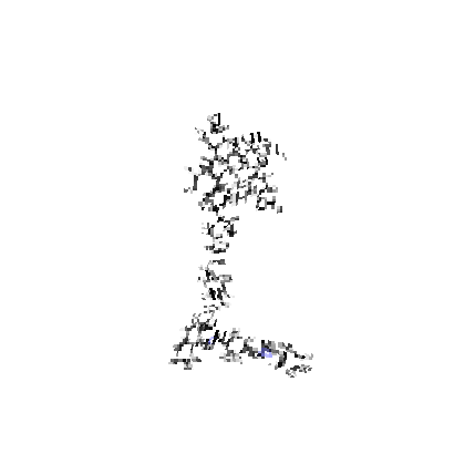 Cc1ccc(C(=O)N(CCCNC(=O)c2ccc(OCCCN3CCN(CCOc4ccc5ccccc5c4/N=N/c4ccc(/N=N/c5ccccc5)cc4)CC3)nc2)[C@@H](c2nc3cc(Cl)ccc3c(=O)n2Cc2ccccc2)C(C)C)cc1